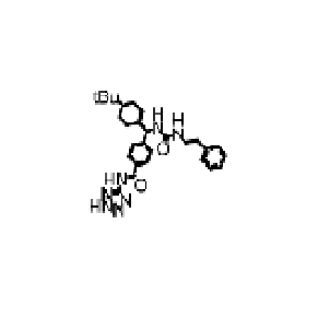 CC(C)(C)C1CCC(C(NC(=O)NCCc2ccccc2)c2ccc(C(=O)Nc3nn[nH]n3)cc2)CC1